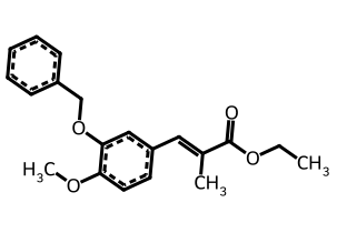 CCOC(=O)/C(C)=C/c1ccc(OC)c(OCc2ccccc2)c1